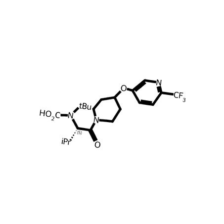 CC(C)[C@@H](C(=O)N1CCC(Oc2ccc(C(F)(F)F)nc2)CC1)N(C(=O)O)C(C)(C)C